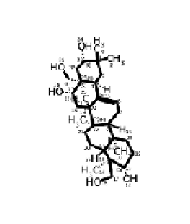 CC1(C)C[C@H]2C3=CC[C@@H]4[C@@]5(C)CC[C@H](O)[C@@](C)(CO)[C@@H]5CC[C@@]4(C)[C@]3(C)C[C@H](O)[C@@]2(CO)C[C@@H]1O